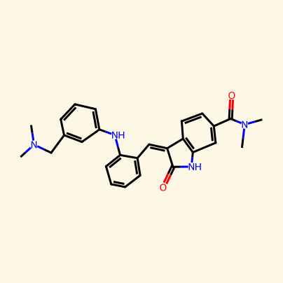 CN(C)Cc1cccc(Nc2ccccc2/C=C2\C(=O)Nc3cc(C(=O)N(C)C)ccc32)c1